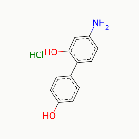 Cl.Nc1ccc(-c2ccc(O)cc2)c(O)c1